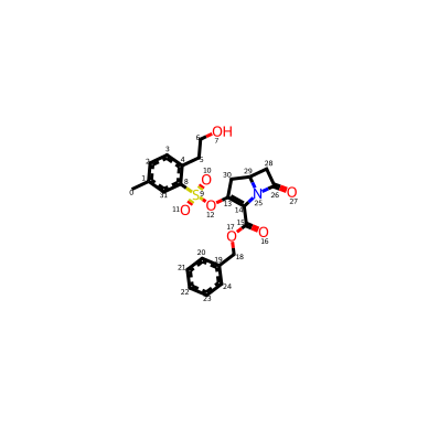 Cc1ccc(CCO)c(S(=O)(=O)OC2=C(C(=O)OCc3ccccc3)N3C(=O)CC3C2)c1